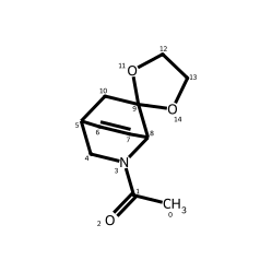 CC(=O)N1CC2C=CC1C1(C2)OCCO1